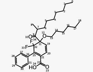 CCCCCCCC(C)C(=O)C1(OCCCCCC)C=CC(C(=O)O)=C(c2ccccc2)C1(F)F